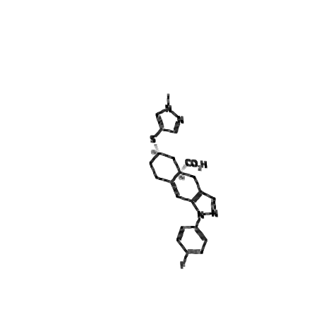 Cn1cc(S[C@H]2CCC3=Cc4c(cnn4-c4ccc(F)cc4)C[C@]3(C(=O)O)C2)cn1